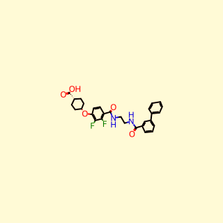 O=C(NCCNC(=O)c1ccc(O[C@H]2CC[C@@H](C(=O)O)CC2)c(F)c1F)c1cccc(-c2ccccc2)c1